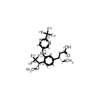 CC[C@@H](CC(=O)O)c1ccc([C@@H](OC)C(F)(F)F)c(Nc2cnc(C(F)(F)F)nc2)c1